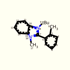 Cc1ccccc1-c1n(C(C)(C)C)c2ccccc2[n+]1C